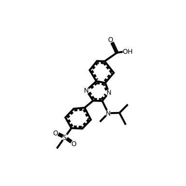 CC(C)N(C)c1nc2cc(C(=O)O)ccc2nc1-c1ccc(S(C)(=O)=O)cc1